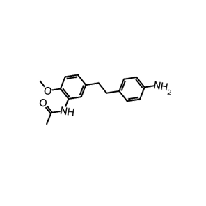 COc1ccc(CCc2ccc(N)cc2)cc1NC(C)=O